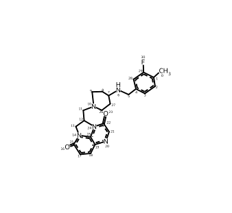 Cc1ccc(CNC2CCN(CC3Cn4c(=O)ccc5ncc(=O)n3c54)CC2)cc1F